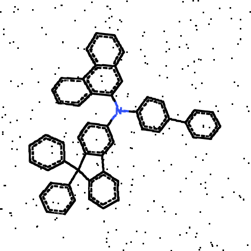 c1ccc(-c2ccc(N(c3ccc4c(c3)-c3ccccc3C4(c3ccccc3)c3ccccc3)c3cc4ccccc4c4ccccc34)cc2)cc1